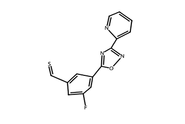 Fc1cc(C=S)cc(-c2nc(-c3ccccn3)no2)c1